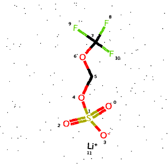 O=S(=O)([O-])OCOC(F)(F)F.[Li+]